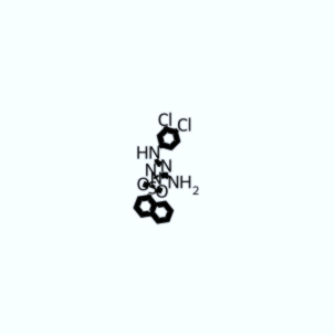 Nc1nc(Nc2ccc(Cl)c(Cl)c2)nn1S(=O)(=O)c1cccc2ccccc12